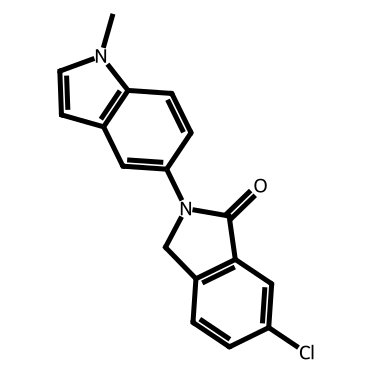 Cn1ccc2cc(N3Cc4ccc(Cl)cc4C3=O)ccc21